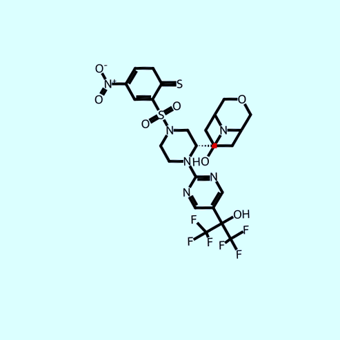 O=[N+]([O-])C1=CCC(=S)C(S(=O)(=O)N2CCN(c3ncc(C(O)(C(F)(F)F)C(F)(F)F)cn3)[C@@H](CN3C4COCC3CC(O)C4)C2)=C1